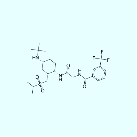 CC(C)S(=O)(=O)C[C@@H]1C[C@H](NC(C)(C)C)CC[C@@H]1NC(=O)CNC(=O)c1cccc(C(F)(F)F)c1